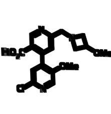 CCOC(=O)c1cnc(CN2CC(OC)C2)cc1-c1cc(Cl)ncc1OC